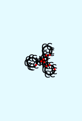 C1CCCCCCCCC(=NOc2nc(ON=C3CCCCCCCCCCCCCCCC3)nc(ON=C3CCCCCCCCCCCCCCCC3)n2)CCCCCCC1